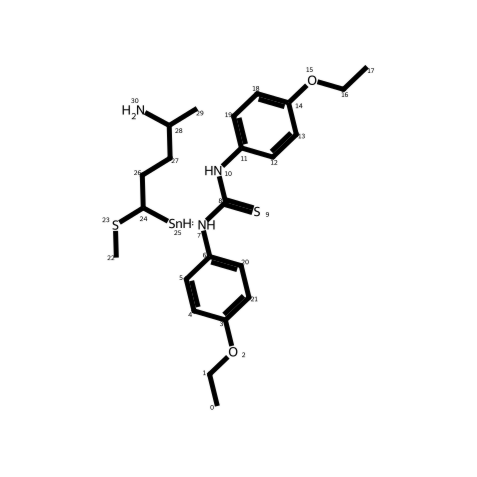 CCOc1ccc(NC(=S)Nc2ccc(OCC)cc2)cc1.CS[CH]([SnH])CCC(C)N